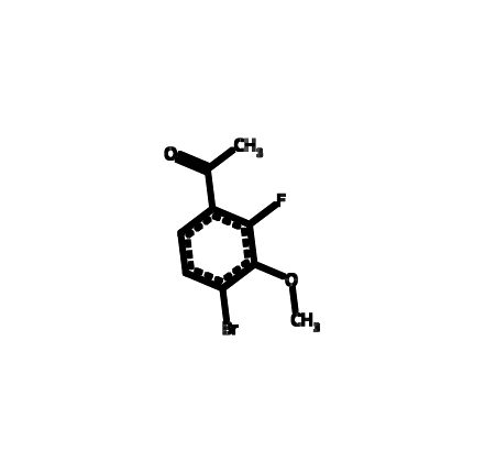 COc1c(Br)ccc(C(C)=O)c1F